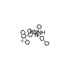 CC1(C)c2ccccc2-c2c1cc1ccccc1c2-c1ccc(C2N=C(c3ccc(-c4ccccc4)cc3)NC(c3ccccc3)N2)c2ccccc12